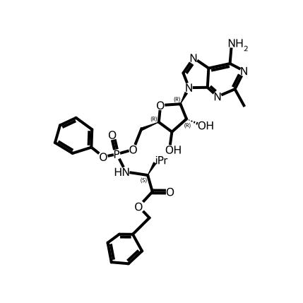 Cc1nc(N)c2ncn([C@@H]3O[C@H](COP(=O)(N[C@H](C(=O)OCc4ccccc4)C(C)C)Oc4ccccc4)C(O)[C@H]3O)c2n1